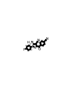 N#Cc1ccc(C(=O)c2nn(-c3ccc(F)cc3)c(N)c2C#N)cc1